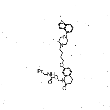 CC(C)CNC(=O)OCN1C(=O)CCc2ccc(OCCCCN3CCN(c4cccc5sccc45)CC3)cc21